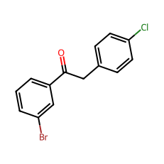 O=C(Cc1ccc(Cl)cc1)c1cccc(Br)c1